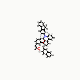 CC(=Cc1ccc2cc(N(c3ccc4c(c3)C(C)(C)c3ccccc3-4)c3ccccc3-c3ccccc3)ccc2c1)OCc1cc2ccccc2cc1C